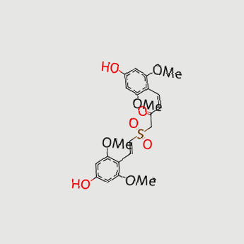 COc1cc(O)cc(OC)c1/C=C\C(=O)CS(=O)(=O)/C=C/c1c(OC)cc(O)cc1OC